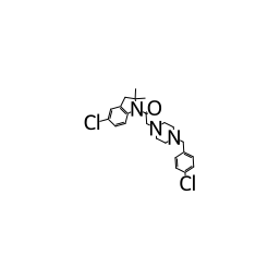 CC1(C)Cc2cc(Cl)ccc2N1C(=O)CN1CCN(Cc2ccc(Cl)cc2)CC1